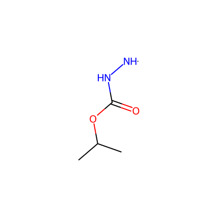 CC(C)OC(=O)N[NH]